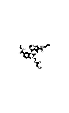 CCCNC(=O)c1cn2ncnc(N(C(=O)OCOC(=O)CO)c3cc(C(=O)NCC)ccc3C)c2c1C